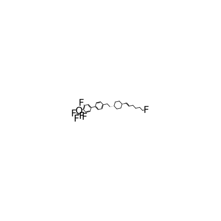 FCCCC/C=C/[C@H]1CC[C@H](CCc2ccc(-c3cc(F)c(OC(F)(F)F)c(F)c3)cc2)CC1